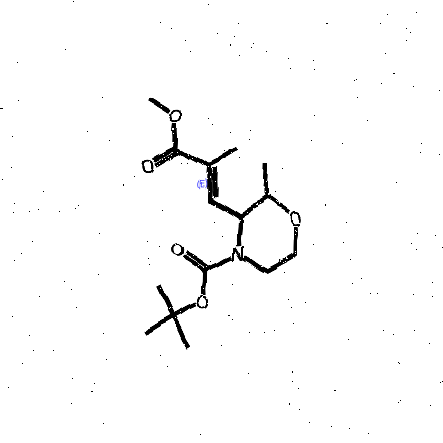 COC(=O)/C(C)=C/C1C(C)OCCN1C(=O)OC(C)(C)C